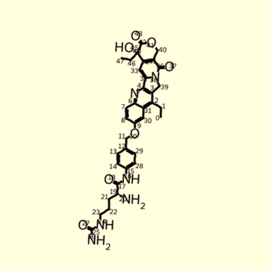 CCc1c2c(nc3ccc(OCc4ccc(NC(=O)[C@@H](N)CCCNC(N)=O)cc4)cc13)-c1cc3c(c(=O)n1C2)COC(=O)[C@]3(O)CC